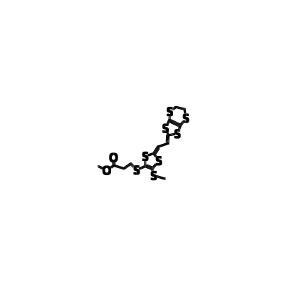 COC(=O)CCSC1=C(SC)SC(=CC=C2SC3=C(SCCS3)S2)S1